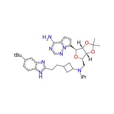 CC(C)N(C[C@H]1O[C@@H](c2ccc3c(N)ncnn23)[C@@H]2OC(C)(C)O[C@@H]21)C1CC(CCc2nc3cc(C(C)(C)C)ccc3[nH]2)C1